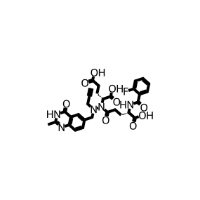 C#CCN(Cc1ccc2nc(C)[nH]c(=O)c2c1)N(C(=O)CC[C@H](NC(=O)c1ccccc1F)C(=O)O)[C@H](CCC(=O)O)C(=O)O